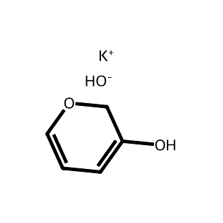 OC1=CC=COC1.[K+].[OH-]